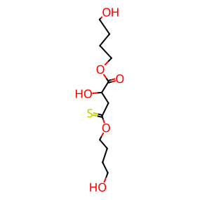 O=C(OCCCCO)C(O)CC(=S)OCCCCO